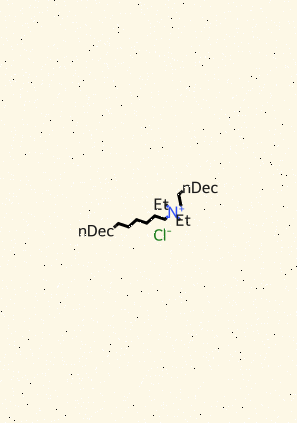 CCCCCCCCCCCCCCCC[N+](CC)(CC)CCCCCCCCCCCC.[Cl-]